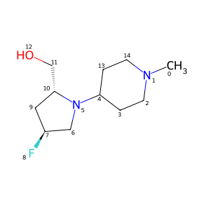 CN1CCC(N2C[C@@H](F)C[C@@H]2CO)CC1